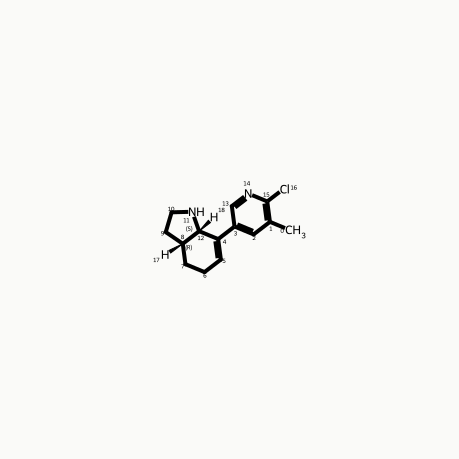 Cc1cc(C2=CCC[C@@H]3CCN[C@H]23)cnc1Cl